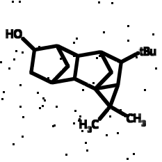 CC(C)(C)C1C2CC3(C4C5CC(O)C(C5)C24)C1C3(C)C